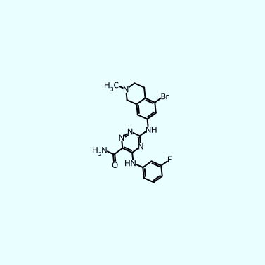 CN1CCc2c(Br)cc(Nc3nnc(C(N)=O)c(Nc4cccc(F)c4)n3)cc2C1